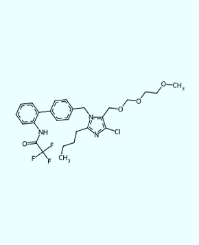 CCCCc1nc(Cl)c(COCOCCOC)n1Cc1ccc(-c2ccccc2NC(=O)C(F)(F)F)cc1